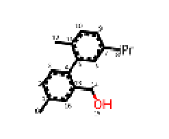 Cc1ccc(-c2cc(C(C)C)ccc2C)c(CO)c1